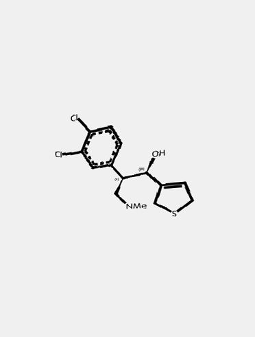 CNC[C@@H](c1ccc(Cl)c(Cl)c1)[C@@H](O)C1=CCSC1